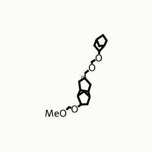 COCOC1CC2CC1C1C[C@@H](COCOC3CC4CCC3C4)CC21